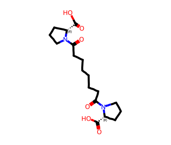 O=C(O)[C@H]1CCCN1C(=O)CCCCCCC(=O)N1CCC[C@@H]1C(=O)O